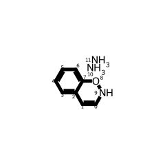 C1=Cc2ccccc2ON1.N.N